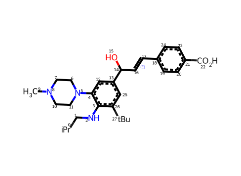 CC(C)CNc1c(N2CCN(C)CC2)cc(C(O)/C=C/c2ccc(C(=O)O)cc2)cc1C(C)(C)C